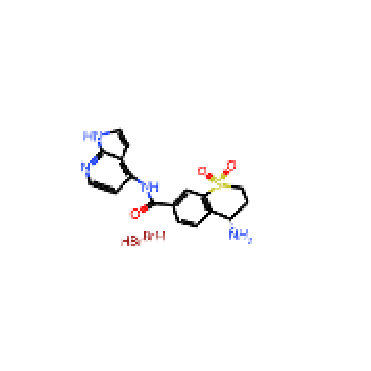 Br.Br.N[C@H]1CCS(=O)(=O)c2cc(C(=O)Nc3ccnc4[nH]ccc34)ccc21